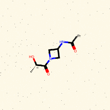 CC(C)C(=O)NC1CN(C(=O)[C@H](C)O)C1